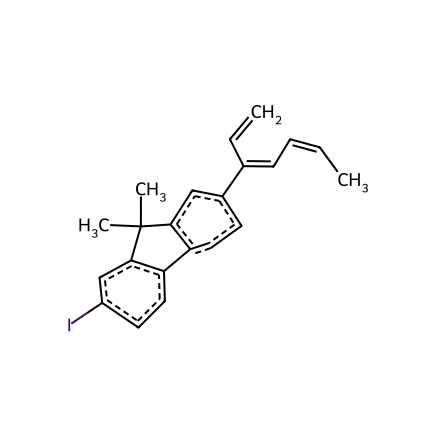 C=C/C(=C\C=C/C)c1ccc2c(c1)C(C)(C)c1cc(I)ccc1-2